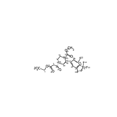 CCOC(=O)CC(=O)[C@@H]1CCN(C(=O)OC)[C@H](c2cc(F)c(C(F)(F)F)c(F)c2)C1